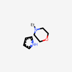 CCN1CCOCC1.c1cc[nH]c1